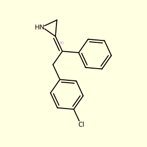 Clc1ccc(C/C(=C2/CN2)c2ccccc2)cc1